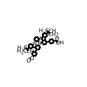 CC(C)(C)c1ccc2c(c1)c1c(-c3ccc(OC=O)cc3)ccc3c1n2-c1cccc2c1B3c1ccc(-c3ccc(C(=O)O)cc3)c3c4cc(C(C)(C)C)ccc4n-2c13